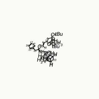 CC(C)(C)OC(=O)CC(/C=C\C[C@@H](NC(=O)Cc1cccs1)B1O[C@@H]2[C@@H]3C[C@H](C[C@]2(C)O1)C3(C)C)O[Si](C)(C)C(C)(C)C